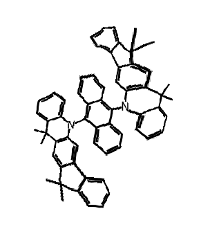 CC1(C)c2ccccc2-c2cc3c(cc21)C(C)(C)c1ccccc1N3c1c2ccccc2c(N2c3ccccc3C(C)(C)c3cc4c(cc32)-c2ccccc2C4(C)C)c2ccccc12